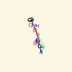 CC1(C)C(=O)N(c2ccc(C#N)c(C(F)(F)F)c2)C(=S)N1CCOCCOCCNC(=O)CC12CC3CC(CC(C3)C1)C2